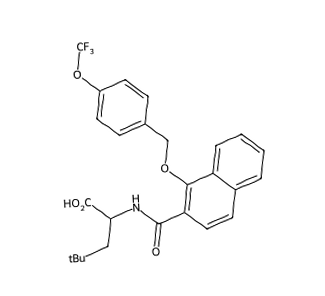 CC(C)(C)CC(NC(=O)c1ccc2ccccc2c1OCc1ccc(OC(F)(F)F)cc1)C(=O)O